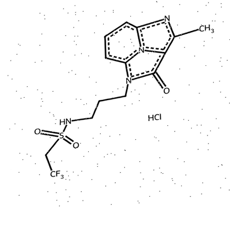 Cc1nc2cccc3n(CCCNS(=O)(=O)CC(F)(F)F)c(=O)c1n23.Cl